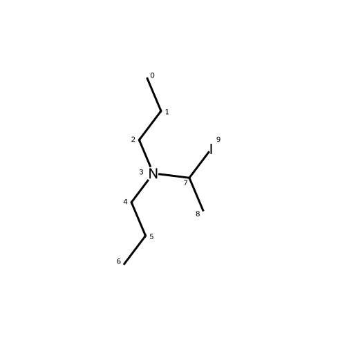 CCCN(CCC)C(C)I